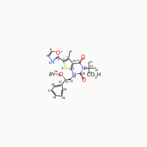 Cc1c(-c2ncco2)sc2c1c(=O)n(C(C)(C)C(=O)O)c(=O)n2C[C@H](OC(C)C)c1ccccc1